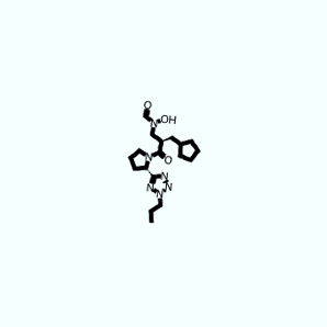 CCCn1nnc([C@@H]2CCCN2C(=O)[C@H](CC2CCCC2)CN(O)C=O)n1